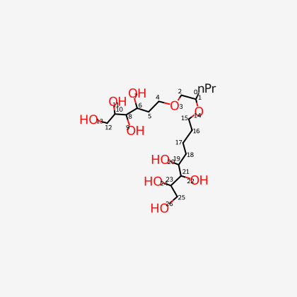 CCCC(COCCC(O)C(O)C(O)CO)OCCCCC(O)C(O)C(O)CO